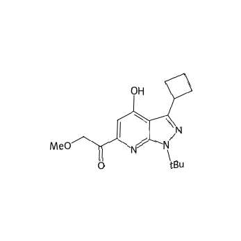 COCC(=O)c1cc(O)c2c(C3CCC3)nn(C(C)(C)C)c2n1